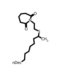 CCCCCCCCCCCCCCCCC(C)SCCN1C(=O)CCCCC1=O